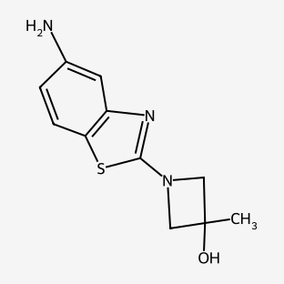 CC1(O)CN(c2nc3cc(N)ccc3s2)C1